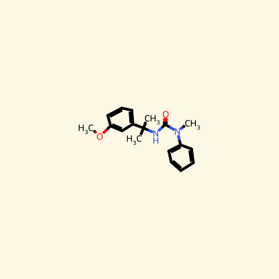 COc1cccc(C(C)(C)NC(=O)N(C)c2ccccc2)c1